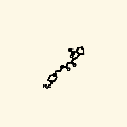 CN1CCN(CCOC(=O)CC(=O)C=Cc2ccccc2[N+](=O)[O-])CC1